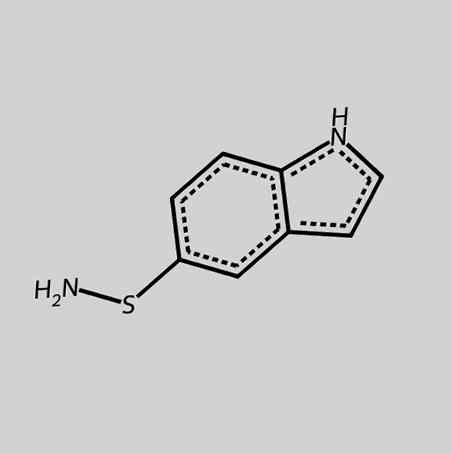 NSc1ccc2[nH]ccc2c1